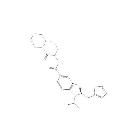 CCC(CC)n1c(Cc2cccs2)nc2cc(C(=O)NC(CC(C)C)C(=O)N3CCSCC3)ccc21